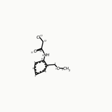 COCc1ccccc1NC(=O)CCl